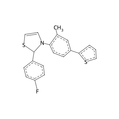 Cc1cc(-c2cccs2)ccc1N1C=CSC1c1ccc(F)cc1